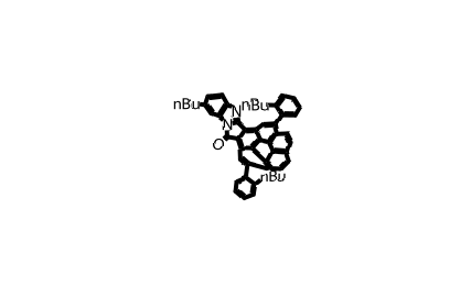 CCCCc1ccc2nc3c4c5cc(-c6ccccc6CCCC)c6ccc7ccc8c(-c9ccccc9CCCC)cc(c4c(=O)n3c2c1)c1c8c7c6c51